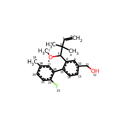 C=CC(C)(C)C(OC)c1cc(CO)ccc1-c1cc(C)ccc1F